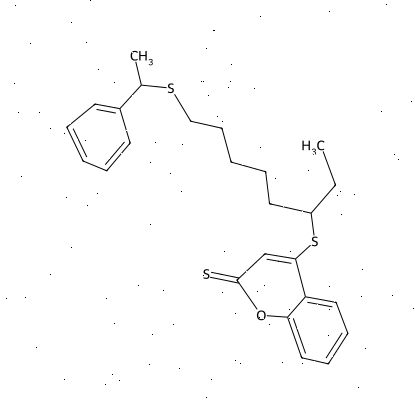 CCC(CCCCCSC(C)c1ccccc1)Sc1cc(=S)oc2ccccc12